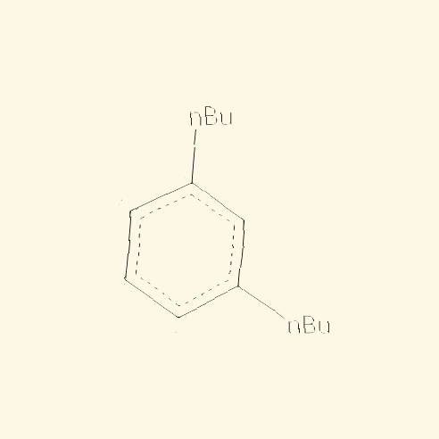 CCCCc1[c][c]cc(CCCC)c1